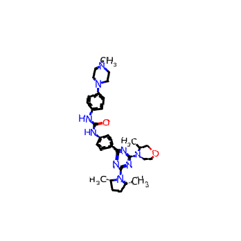 CC1COCCN1c1nc(-c2ccc(NC(=O)Nc3ccc(N4CCN(C)CC4)cc3)cc2)nc(N2[C@H](C)CC[C@@H]2C)n1